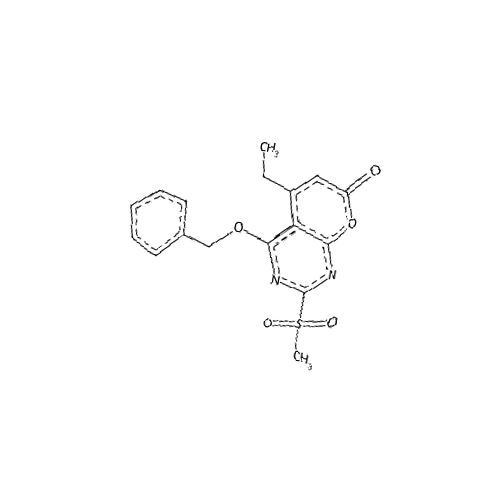 CCc1cc(=O)oc2nc(S(C)(=O)=O)nc(OCc3ccccc3)c12